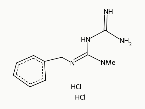 CNC(=NCc1ccccc1)NC(=N)N.Cl.Cl